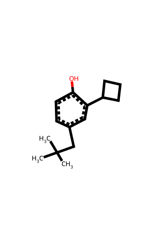 CC(C)(C)Cc1ccc(O)c(C2CCC2)c1